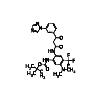 CN(C)c1cc(NC(=O)OC(C)(C)C)c(NC(=O)CC(=O)c2cccc(-n3cncn3)c2)cc1C(F)(F)F